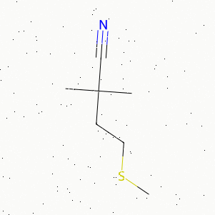 CSCCC(C)(C)C#N